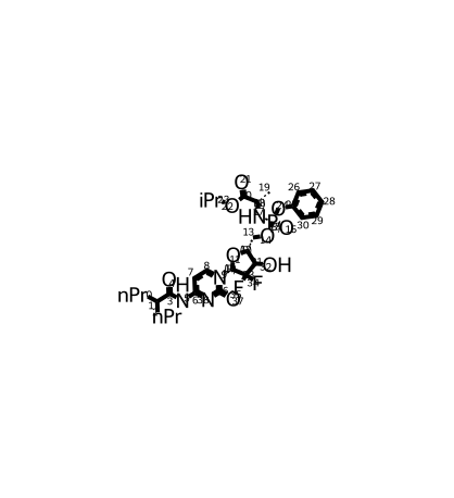 CCCC(CCC)C(=O)Nc1ccn([C@@H]2O[C@H](CO[P@@](=O)(N[C@@H](C)C(=O)OC(C)C)Oc3ccccc3)C(O)C2(F)F)c(=O)n1